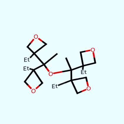 CCC1(C(C)(OC(C)(C2(CC)COC2)C2(CC)COC2)C2(CC)COC2)COC1